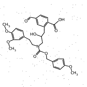 COc1ccc(COC(=O)N(CCc2ccc(OC)c(OC)c2)CC(O)Cc2cc(C=O)ccc2C(=O)O)cc1